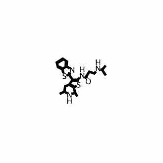 CC(C)NCCC(=O)Nc1sc2c(c1-c1nc3ccccc3s1)CC(C)NC2C